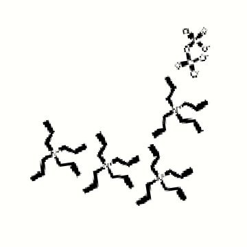 C=CC[N+](CC=C)(CC=C)CC=C.C=CC[N+](CC=C)(CC=C)CC=C.C=CC[N+](CC=C)(CC=C)CC=C.C=CC[N+](CC=C)(CC=C)CC=C.O=P([O-])([O-])OP(=O)([O-])[O-]